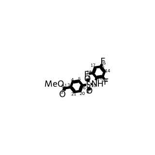 COC(=O)c1ccc(S(=O)(=O)Nc2c(F)cc(F)cc2F)cc1